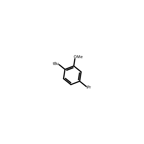 COc1cc(C(C)C)ccc1C(C)(C)C